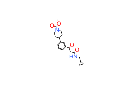 COC(=O)N1CCC(c2cccc(C(=O)CC(=O)NCC3CC3)c2)CC1